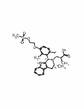 Cc1c(OCCOS(C)(=O)=O)ccc(F)c1[C@@H]1c2[nH]c3ccccc3c2C[C@@H](C)N1CC(C)C(=O)O